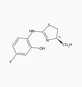 O=C(O)[C@@H]1CSC(Nc2ccc(F)cc2O)=N1